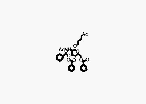 CC(=O)CCCCO[C@@H]1OC(COC(=O)c2ccccc2)[C@H](OC(=O)c2ccccc2)[C@H](OC(=O)c2ccccc2)C1NC(C)=O